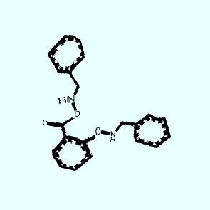 O=C(ONCc1ccccc1)c1ccccc1ONCc1ccccc1